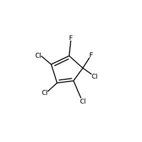 FC1=C(Cl)C(Cl)=C(Cl)C1(F)Cl